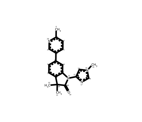 Cc1ccc(-c2ccc3c(c2)N(c2cn(C)cn2)C(=O)C3(C)C)cn1